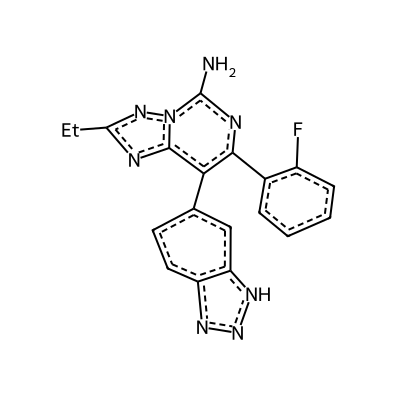 CCc1nc2c(-c3ccc4nn[nH]c4c3)c(-c3ccccc3F)nc(N)n2n1